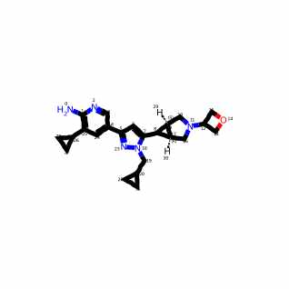 Nc1ncc(-c2cc(C3[C@H]4CN(C5COC5)C[C@@H]34)n(CC3CC3)n2)cc1C1CC1